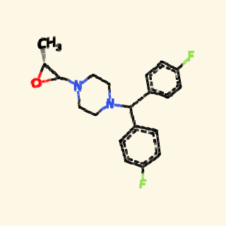 C[C@H]1OC1N1CCN(C(c2ccc(F)cc2)c2ccc(F)cc2)CC1